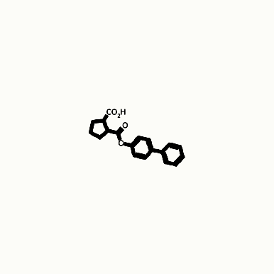 O=C(O)C1CCCC1C(=O)Oc1ccc(-c2ccccc2)cc1